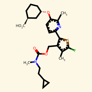 Cc1nc(-c2sc(F)c(C)c2COC(=O)N(C)CCC2CC2)ccc1O[C@H]1CCC[C@H](C(=O)O)C1